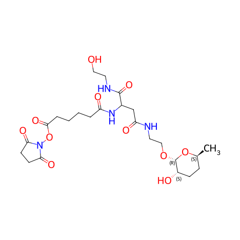 C[C@H]1CC[C@H](O)[C@H](OCCNC(=O)CC(NC(=O)CCCCC(=O)ON2C(=O)CCC2=O)C(=O)NCCO)O1